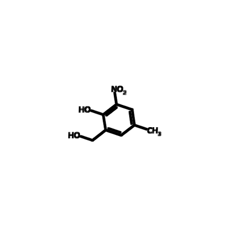 Cc1cc(CO)c(O)c([N+](=O)[O-])c1